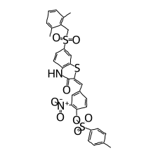 Cc1ccc(S(=O)(=O)Oc2ccc(/C=C3/Sc4cc(S(=O)(=O)Cc5c(C)cccc5C)ccc4NC3=O)cc2[N+](=O)[O-])cc1